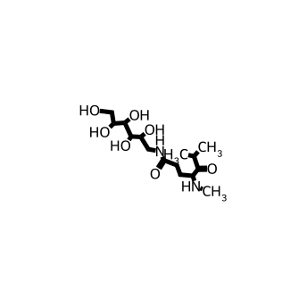 CNC(CCC(=O)NCC(O)C(O)C(O)C(O)CO)C(=O)C(C)C